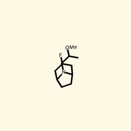 COC(C)CN1C2CCC1CC(F)C2